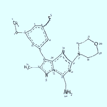 COc1cc(F)cc(-c2c(C)nn3c(N)nc(N4CCOCC4)nc23)c1